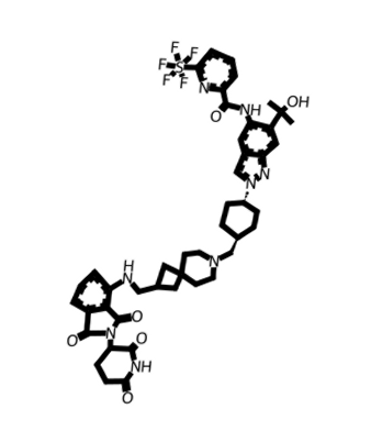 CC(C)(O)c1cc2nn([C@H]3CC[C@H](CN4CCC5(CC4)CC(CNc4cccc6c4C(=O)N(C4CCC(=O)NC4=O)C6=O)C5)CC3)cc2cc1NC(=O)c1cccc(S(F)(F)(F)(F)F)n1